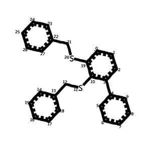 [c]1ccc(-c2ccccc2)c(SCc2ccccc2)c1SCc1ccccc1